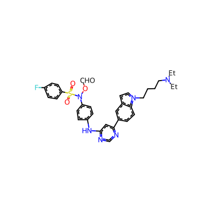 CCN(CC)CCCCn1ccc2cc(-c3cc(Nc4ccc(N(OC=O)S(=O)(=O)c5ccc(F)cc5)cc4)ncn3)ccc21